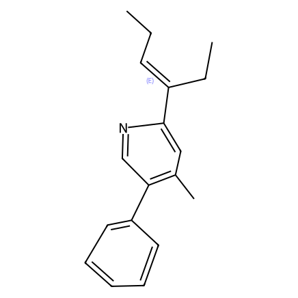 CC/C=C(\CC)c1cc(C)c(-c2ccccc2)cn1